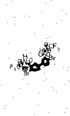 O=S(=O)(NS(=O)(=O)C(F)(F)F)c1cc(-c2ccc(Br)c(S(=O)(=O)NS(=O)(=O)C(F)(F)F)c2)ccc1Br